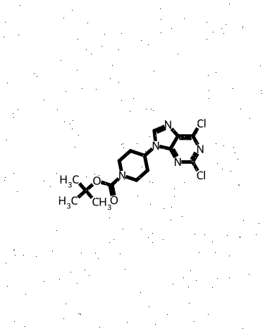 CC(C)(C)OC(=O)N1CCC(n2cnc3c(Cl)nc(Cl)nc32)CC1